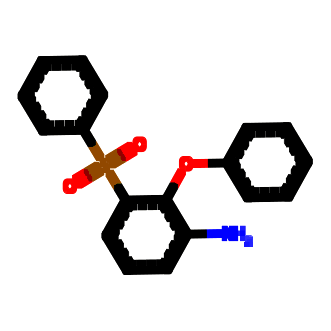 Nc1cccc(S(=O)(=O)c2ccccc2)c1Oc1ccccc1